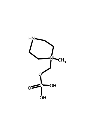 C[N+]1(COP(=O)(O)O)CCNCC1